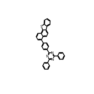 c1ccc(-c2nc(-c3ccccc3)nc(-c3ccc(-c4cccc5c4ccc4c6ccccc6sc54)cc3)n2)cc1